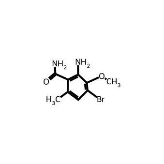 COc1c(Br)cc(C)c(C(N)=O)c1N